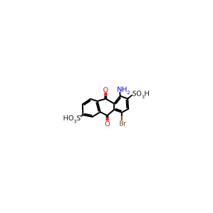 Nc1c(S(=O)(=O)O)cc(Br)c2c1C(=O)c1ccc(S(=O)(=O)O)cc1C2=O